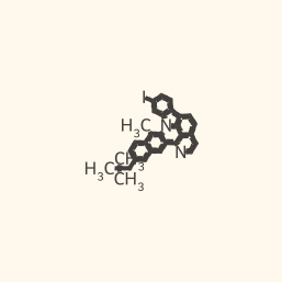 Cc1c2ccc(CC(C)(C)C)cc2cc2c3nccc4ccc5c6ccc(I)cc6n(c12)c5c43